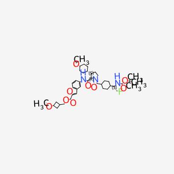 COC1CCC([C@@H]2CCN(C(=O)C3CCC([C@@H](CF)NC(=O)OC(C)(C)C)CC3)[C@H]2C(=O)Nc2ccc3oc(C(=O)OCC4CC(OC)C4)cc3c2)CC1